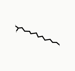 ICCCCCCCCCCCC(I)I